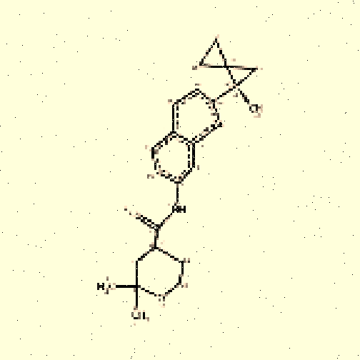 CC1(C)C[C@@H](C(=O)Nc2cc3cc([C@@]4(C#N)CC45CC5)ccc3cn2)CCO1